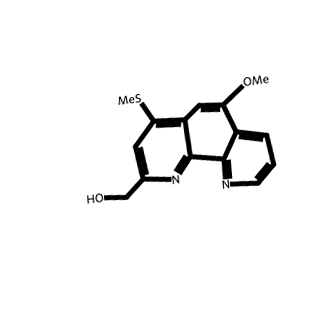 COc1cc2c(SC)cc(CO)nc2c2ncccc12